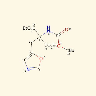 CCOC(=O)C(Cc1cnco1)(NC(=O)OC(C)(C)C)C(=O)OCC